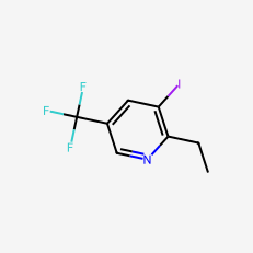 CCc1ncc(C(F)(F)F)cc1I